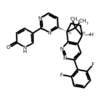 CC1(C)[C@H]2CC[C@]1(c1ccnc(-c3ccc(=O)[nH]c3)n1)c1nnc(-c3c(F)cccc3F)cc12